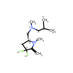 C=C1N(C)[C@H](CN(C)CC(C)C)CC1(F)F